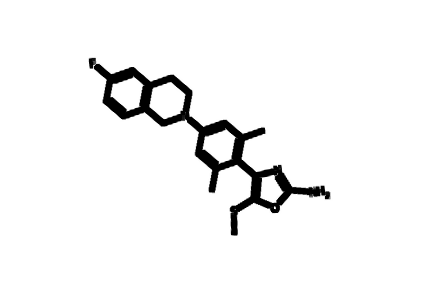 CSc1oc(N)nc1-c1c(C)cc(N2CCc3cc(F)ccc3C2)cc1C